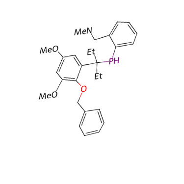 CCC(CC)(Pc1ccccc1CNC)c1cc(OC)cc(OC)c1OCc1ccccc1